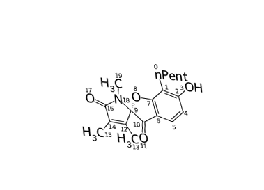 CCCCCc1c(O)ccc2c1O[C@]1(C2=O)C(C)=C(C)C(=O)N1C